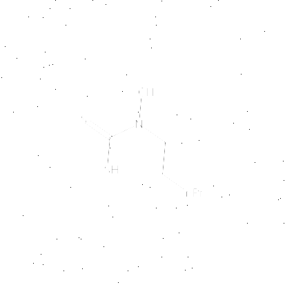 CCCCCN(C)C(=S)S